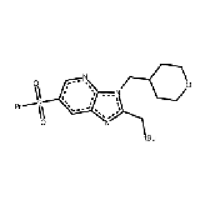 CC(C)S(=O)(=O)c1cnc2c(c1)nc(CC(C)(C)C)n2CC1CCOCC1